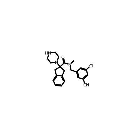 CN(Cc1cc(Cl)cc(C#N)c1)C(=O)C1(N2CCNCC2)Cc2ccccc2C1